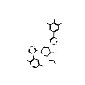 Cc1ncc(Cl)cc1-n1cnnc1[C@@H]1O[C@H](CCO)[C@H](O)[C@H](n2cc(-c3cc(F)c(F)c(F)c3)nn2)[C@H]1O